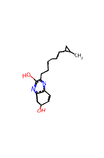 CC1CC1CCCCCc1nc2c(nc1O)CC(O)C=C2